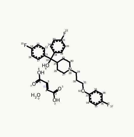 O.O=C(O)/C=C/C(=O)O.OC(c1ccc(F)cc1)(c1ccc(F)cc1)C1CCN(CCCOc2ccc(F)cc2)CC1